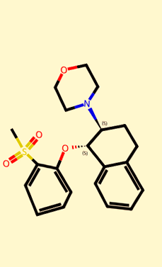 CS(=O)(=O)c1ccccc1O[C@H]1c2ccccc2CC[C@@H]1N1CCOCC1